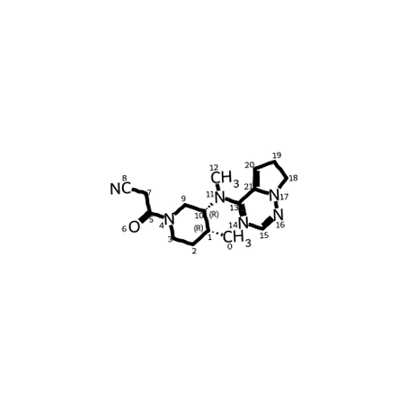 C[C@@H]1CCN(C(=O)CC#N)C[C@@H]1N(C)C1=NC=NN2CCC=C12